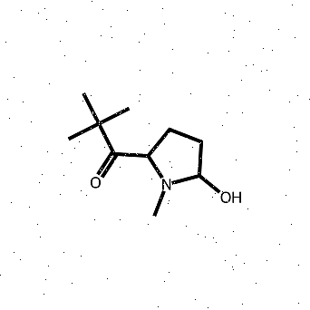 CN1C(O)CCC1C(=O)C(C)(C)C